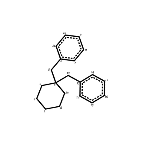 [CH]1CCCC(Cc2ccccc2)(Cc2ccccc2)C1